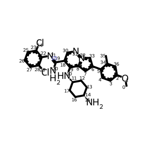 COc1ccc(-c2cc3c(N[C@H]4CC[C@H](N)CC4)c(/C(N)=N/c4c(Cl)cccc4Cl)cnn3c2)c(C)c1